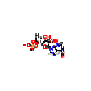 CC(OP(=O)(O)O)[C@H]1O[C@@H](n2cnc3c(O)ncnc32)[C@H](O)[C@@H]1O